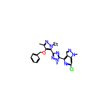 CCn1nc(C)c(OCc2ccccc2)c1-c1nc(-c2nc(Cl)cc3c2cnn3C)n(C)n1